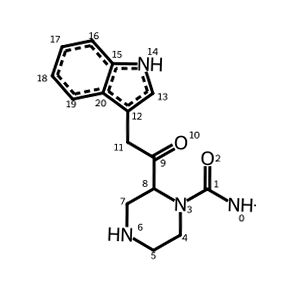 [NH]C(=O)N1CCNCC1C(=O)Cc1c[nH]c2ccccc12